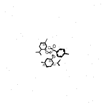 Cc1ccc(S(=O)(=O)P(O[C@@H]2C[C@H](C)CCC2C(C)C)O[C@@H]2C[C@H](C)CC[C@H]2C(C)C)cc1